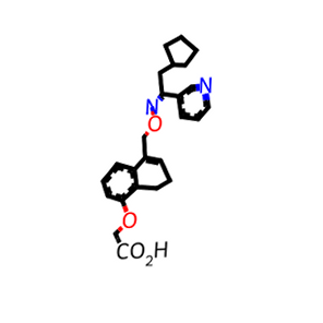 O=C(O)COc1cccc2c1CCC=C2CON=C(CC1CCCC1)c1cccnc1